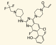 C=CC(=O)N1CCN(c2nc(NC3CCCN(CC(F)(F)F)C3)nc3c(F)c(-c4c(O)cccc4F)c(Cl)cc23)CC1